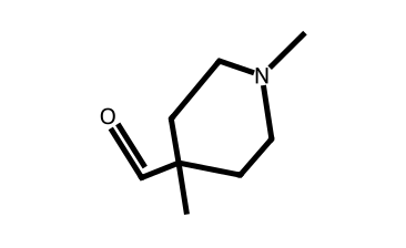 CN1CCC(C)(C=O)CC1